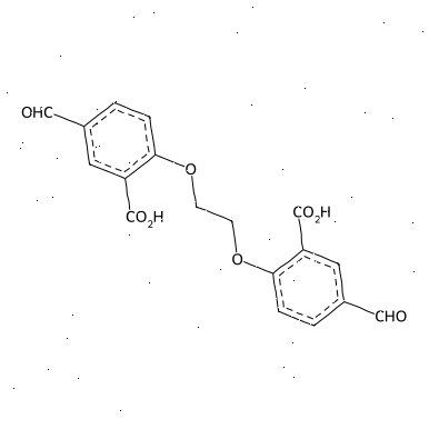 O=Cc1ccc(OCCOc2ccc(C=O)cc2C(=O)O)c(C(=O)O)c1